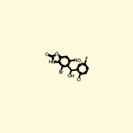 O=c1[nH]c2c(Br)c(C(O)c3cc(F)ccc3Cl)c([N+](=O)[O-])cc2o1